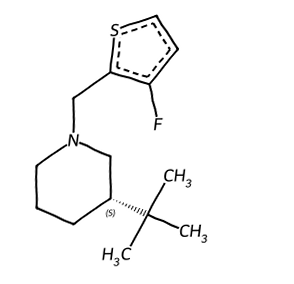 CC(C)(C)[C@@H]1CCCN(Cc2sccc2F)C1